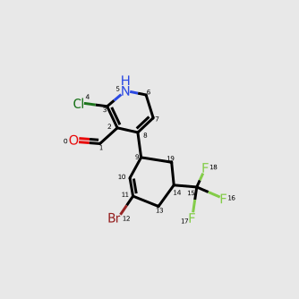 O=CC1=C(Cl)NCC=C1C1C=C(Br)CC(C(F)(F)F)C1